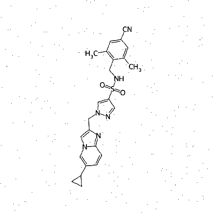 Cc1cc(C#N)cc(C)c1CNS(=O)(=O)c1cnn(Cc2cn3cc(C4CC4)ccc3n2)c1